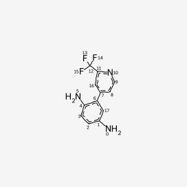 Nc1ccc(N)c(-c2ccnc(C(F)(F)F)c2)c1